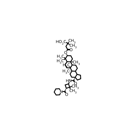 CC(C)(CC(=O)O[C@H]1CC[C@@]2(C)C(CC[C@]3(C)C2CCC2C4CCC[C@]4(C(=O)NC4C[C@H](C(=O)N5CCCCC5)C4(C)C)CC[C@]23C)C1(C)C)C(=O)O